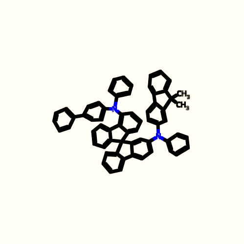 CC1(C)c2ccccc2-c2ccc(N(c3ccccc3)c3ccc4c(c3)C3(c5ccccc5-4)c4ccccc4-c4c(N(c5ccccc5)c5ccc(-c6ccccc6)cc5)cccc43)cc21